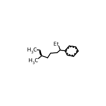 CC=C(C)CCCC(CC)c1ccccc1